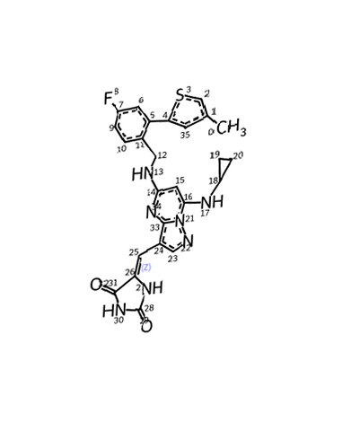 Cc1csc(-c2cc(F)ccc2CNc2cc(NC3CC3)n3ncc(/C=C4\NC(=O)NC4=O)c3n2)c1